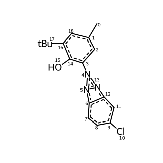 Cc1cc(-n2n3c4ccc(Cl)cc4n23)c(O)c(C(C)(C)C)c1